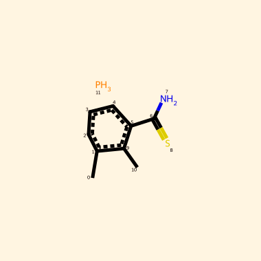 Cc1cccc(C(N)=S)c1C.P